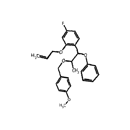 C=CCOc1cc(F)ccc1C(Oc1ccccc1)C(C)OCc1ccc(OC)cc1